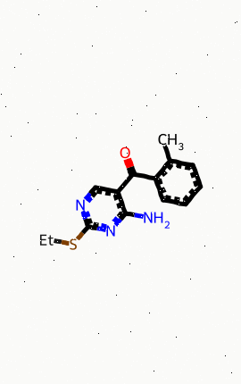 CCSc1ncc(C(=O)c2ccccc2C)c(N)n1